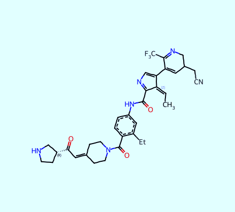 C/C=C1/C(C2=CC(CC#N)CN=C2C(F)(F)F)=CN=C1C(=O)Nc1ccc(C(=O)N2CCC(=CC(=O)[C@@H]3CCNC3)CC2)c(CC)c1